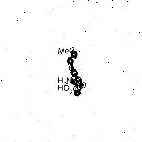 COc1cccc(-c2cccc(COc3ccc(-c4ccc(C(=O)N(Cc5ccccc5)[C@@H](CCC(N)=O)C(=O)O)cc4)cc3)c2)c1